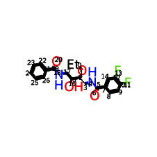 CCO[C@H](CNC(=O)c1ccc(F)c(F)c1)[C@@H](O)CNC(=O)c1ccccc1